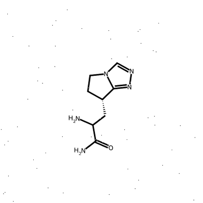 NC(=O)C(N)C[C@@H]1CCn2cnnc21